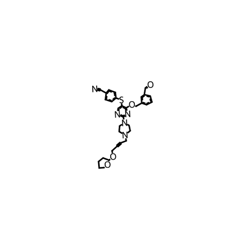 N#Cc1ccc(Sc2cnc(N3CCN(CC#CCOC4CCCCO4)CC3)nc2OCc2cccc(C=O)c2)cc1